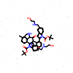 Cc1ccc(-c2cc3cc(CNCCO)ccc3n2C(=O)OC(C)(C)C)c2c1CNC2C(=O)C1NCc2c(C)ccc(-c3cc4cc(CNCCO)ccc4n3C(=O)OC(C)(C)C)c21